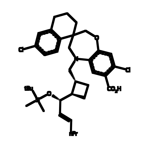 CCC/C=C/[C@H](O[Si](C)(C)C(C)(C)C)[C@@H]1CC[C@H]1CN1CC2(CCCc3cc(Cl)ccc32)COc2cc(Cl)c(C(=O)O)cc21